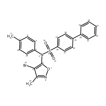 Cc1ccc(N(c2onc(C)c2Br)S(=O)(=O)c2ccc(-c3ccccc3)cc2)cc1